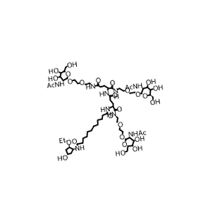 CCO[C@@H]1C[C@@H](O)C[C@@H]1NC(=O)CCCCCCCCCCC(=O)NC(CCC(=O)NC(CCC(=O)NCCOCCOC1OC(CO)C(O)C(O)C1NC(C)=O)C(=O)NCCOCCOC1O[C@H](CO)C(O)C(O)C1NC(C)=O)C(=O)NCCOCCOC1OC(CO)C(O)C(O)C1NC(C)=O